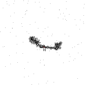 Cc1cc(Nc2ncc(Cl)c(Nc3ccccc3S(=O)(=O)C(C)C)n2)c(OC(C)C)cc1C1CCN(CC(=O)NCCOCCOCCOc2cccc3c2C(=O)N(C2CCC(=O)NC2=O)C3=O)CC1